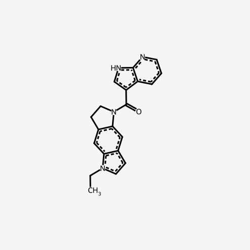 CCn1ccc2cc3c(cc21)CCN3C(=O)c1c[nH]c2ncccc12